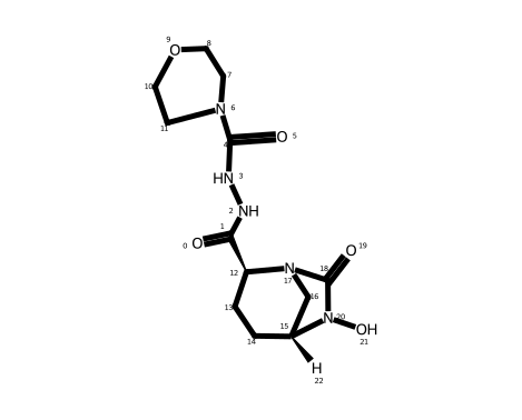 O=C(NNC(=O)N1CCOCC1)[C@@H]1CC[C@@H]2CN1C(=O)N2O